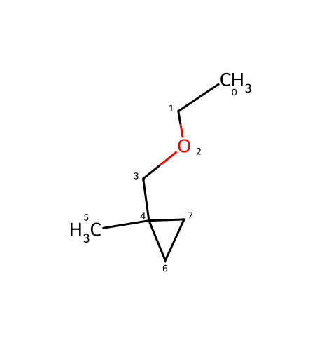 CCOCC1(C)CC1